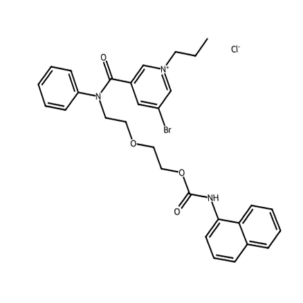 CCC[n+]1cc(Br)cc(C(=O)N(CCOCCOC(=O)Nc2cccc3ccccc23)c2ccccc2)c1.[Cl-]